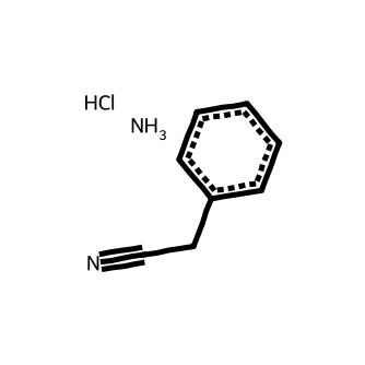 Cl.N.N#CCc1ccccc1